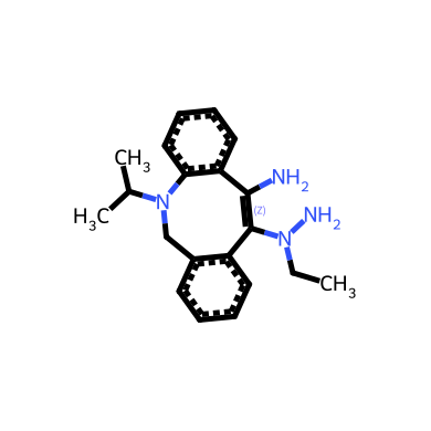 CCN(N)/C1=C(\N)c2ccccc2N(C(C)C)Cc2ccccc21